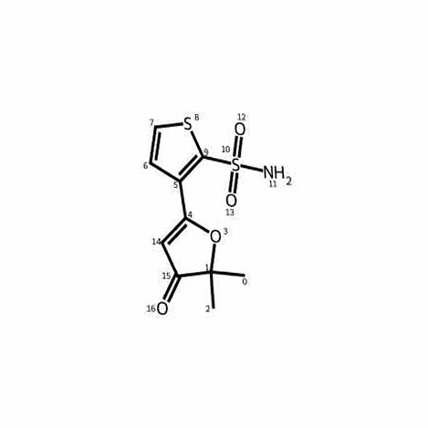 CC1(C)OC(c2ccsc2S(N)(=O)=O)=CC1=O